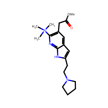 COC(=O)Cc1cc2cc(CCN3CCCC3)[nH]c2nc1[N+](C)(C)C